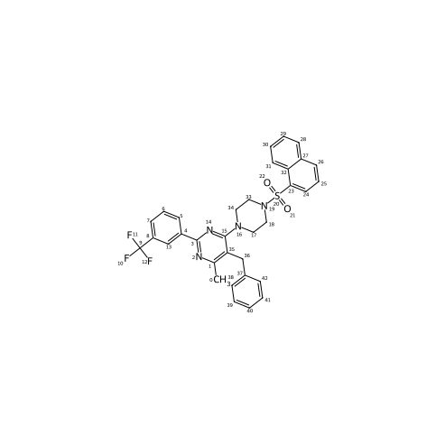 Cc1nc(-c2cccc(C(F)(F)F)c2)nc(N2CCN(S(=O)(=O)c3cccc4ccccc34)CC2)c1Cc1ccccc1